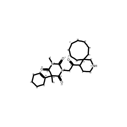 CN1C(=O)N(CC(=O)C2CCNCC23CCCCCCCC3)C(=O)C(C)(C2=CCCCC2)C1=O